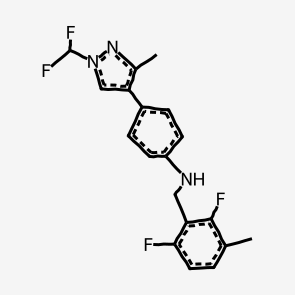 Cc1ccc(F)c(CNc2ccc(-c3cn(C(F)F)nc3C)cc2)c1F